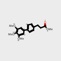 COC(=O)CCc1ccc(-c2cc(OC)c(OC)c(OC)c2)cc1